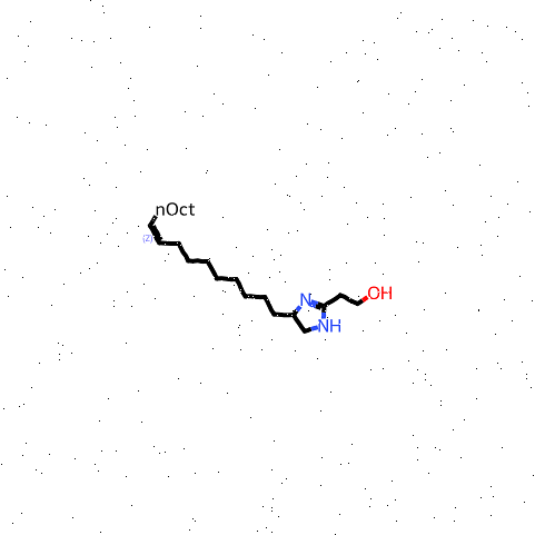 CCCCCCCC/C=C\CCCCCCCCC1CNC(CCO)=N1